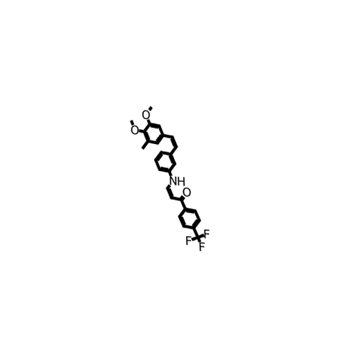 COc1cc(/C=C\c2cccc(N/C=C\C(=O)c3ccc(C(F)(F)F)cc3)c2)cc(C)c1OC